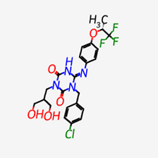 C[C@@H](Oc1ccc(/N=c2\[nH]c(=O)n(CC(CO)CO)c(=O)n2Cc2ccc(Cl)cc2)cc1)C(F)(F)F